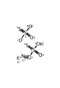 O=S(O)(O)=S.O=S([O-])([O-])=S.[K+].[Na+]